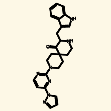 O=C1C(Cc2c[nH]c3ccccc23)NCCC12CCN(c1nccc(-n3cccn3)n1)CC2